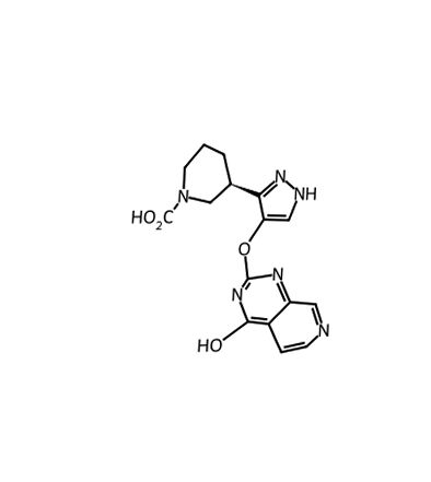 O=C(O)N1CCC[C@@H](c2n[nH]cc2Oc2nc(O)c3ccncc3n2)C1